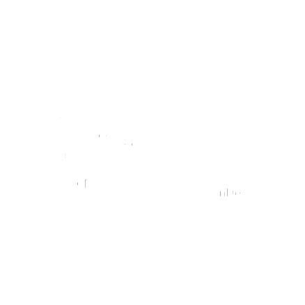 CCCCCCCCCCCCCCCCOC1C=C(Cl)C(=O)C(C2CC2)O1